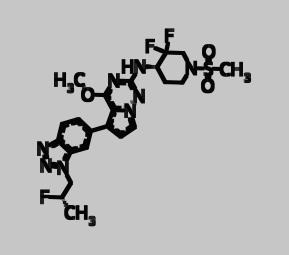 COc1nc(N[C@@H]2CCN(S(C)(=O)=O)CC2(F)F)nn2ccc(-c3ccc4nnn(C[C@H](C)F)c4c3)c12